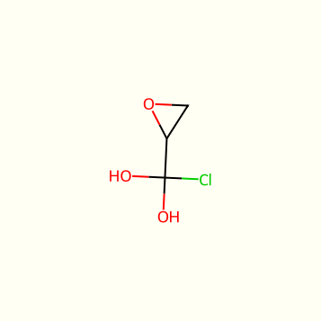 OC(O)(Cl)C1CO1